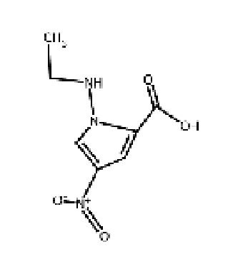 CCNn1cc([N+](=O)[O-])cc1C(=O)O